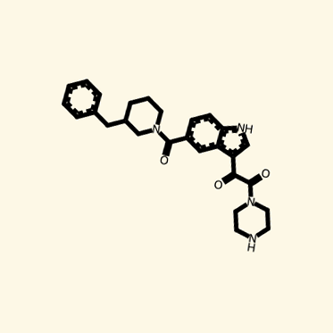 O=C(C(=O)N1CCNCC1)c1c[nH]c2ccc(C(=O)N3CCCC(Cc4ccccc4)C3)cc12